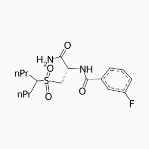 CCCC(CCC)S(=O)(=O)C[C@@H](NC(=O)c1cccc(F)c1)C(N)=O